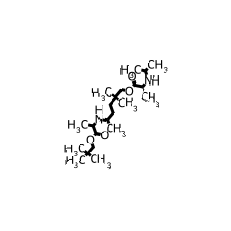 CC(C)N[C@H](C)C(=O)OCC(C)(C)CCC(C)NC(C)C(=O)OCC(C)(C)C